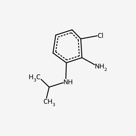 CC(C)Nc1cccc(Cl)c1N